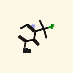 C=C(C(=C)C(C)CC)/C(=C\C)C(C)(C)F